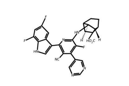 N#Cc1c(-c2c[nH]c3c(F)cc(F)cc23)nc(N[C@H]2C3CCC(CC3)[C@@H]2C(=O)O)c(F)c1-c1cncnc1